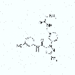 C[C@H](N)C(=O)NCc1cccc(-n2nc(C(F)(F)F)cc2C(=O)Nc2cccc(C#N)c2)c1